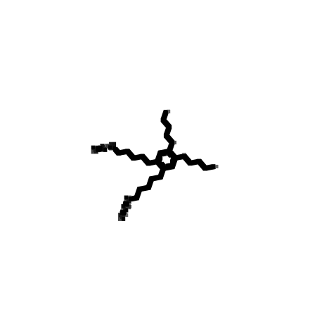 [CH2]CCC[CH]c1cc(CCCCCN=[N+]=[N-])c(CCCCCN=[N+]=[N-])cc1[CH]CCC[CH2]